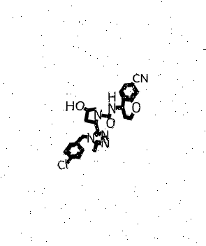 Cc1nnc(C2CC(O)CN2C(=O)NC2CCOc3cc(C#N)ccc32)n1Cc1ccc(Cl)cc1